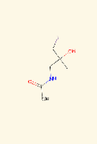 CC(O)(CI)CNC(=O)C(C)(C)C